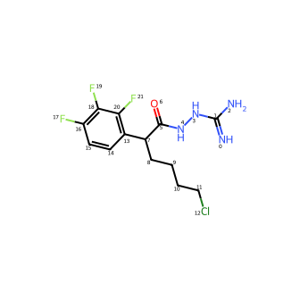 N=C(N)NNC(=O)C(CCCCCl)c1ccc(F)c(F)c1F